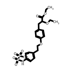 CCOC(=O)C(Cc1ccc(OCCc2ccc(NS(=O)(=O)S(C)(=O)=O)cc2)cc1)OCC